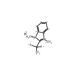 Cn1c(C(F)(F)C(F)(F)F)[n+](C)c2ccccc21.[Br-]